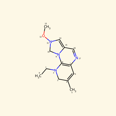 CCN1CC(C)=CC2=C1N1CN(OC)C=C1C=N2